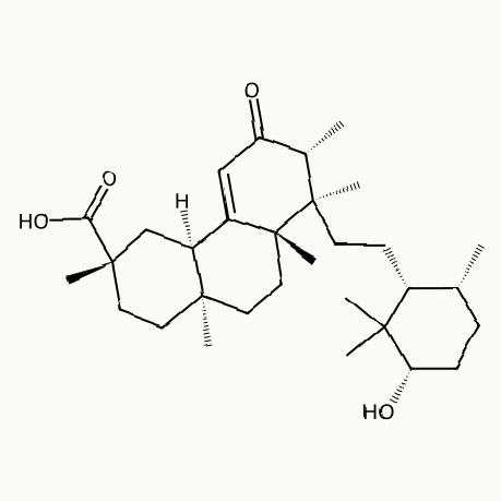 C[C@@H]1CC[C@H](O)C(C)(C)[C@@H]1CC[C@]1(C)[C@@H](C)C(=O)C=C2[C@@H]3C[C@@](C)(C(=O)O)CC[C@]3(C)CC[C@]21C